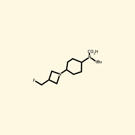 CC(C)(C)N(C(=O)O)C1CCC(N2CC(CF)C2)CC1